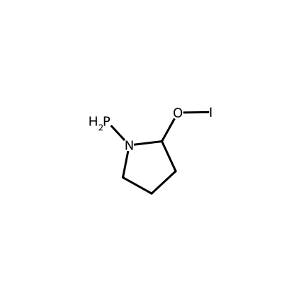 PN1CCCC1OI